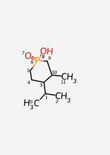 CC(C)C1CCP(=O)(O)CC1C